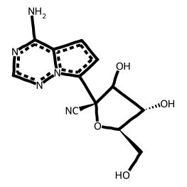 N#C[C@]1(c2ccc3c(N)ncnn23)O[C@H](CO)[C@@H](O)C1O